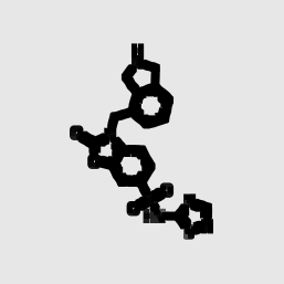 O=c1oc2cc(S(=O)(=O)Nc3ncns3)ccc2n1Cc1cccc2c1CNC2